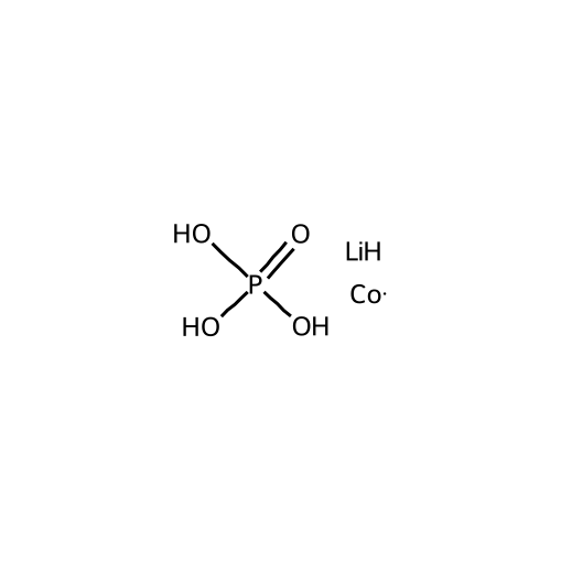 O=P(O)(O)O.[Co].[LiH]